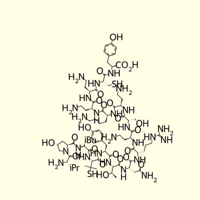 CC[C@H](C)[C@H](NC(=O)[C@@H]1C[C@@H](O)CN1C(=O)[C@@H](N)C(C)C)C(=O)N[C@H](C(=O)N[C@@H](Cc1ccc(O)cc1)C(=O)N[C@H](C(=O)N[C@@H](CC(N)=O)C(=O)N[C@@H](CCCNC(=N)N)C(=O)N[C@@H](CCN)C(=O)N[C@@H](CO)C(=O)N[C@H](CCN)C(=O)N[C@@H](CCCCN)C(=O)N[C@@H](CCN)C(=O)N[C@@H](CCN)C(=O)N[C@@H](CS)C(=O)N[C@@H](Cc1ccc(O)cc1)C(=O)O)[C@@H](C)O)C(C)(C)S